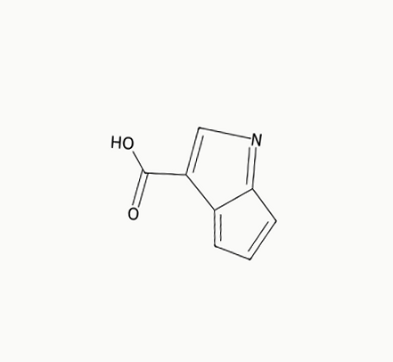 O=C(O)C1=CN=C2C=CC=C12